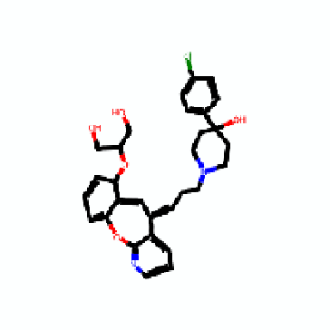 OCC(CO)OC1C=CC=C2Oc3ncccc3C(=CCCN3CCC(O)(c4ccc(Cl)cc4)CC3)C=C21